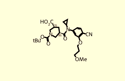 COCCCOc1cc(N(C(=O)[C@@H]2C[C@H](C(=O)O)CN(C(=O)OC(C)(C)C)C2)C2CC2)ccc1C#N